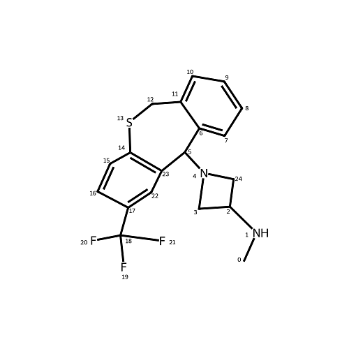 CNC1CN(C2c3ccccc3CSc3ccc(C(F)(F)F)cc32)C1